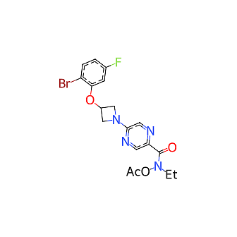 CCN(OC(C)=O)C(=O)c1cnc(N2CC(Oc3cc(F)ccc3Br)C2)cn1